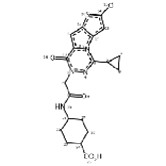 O=C(Cn1nc(C2CC2)n2c(cc3sc(Cl)cc32)c1=O)NC1CCC(C(=O)O)CC1